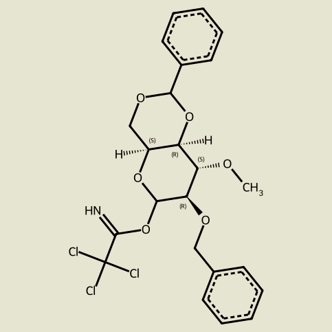 CO[C@H]1[C@@H]2OC(c3ccccc3)OC[C@@H]2OC(OC(=N)C(Cl)(Cl)Cl)[C@@H]1OCc1ccccc1